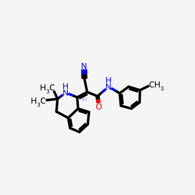 Cc1cccc(NC(=O)/C(C#N)=C2/NC(C)(C)Cc3ccccc32)c1